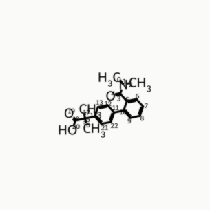 CN(C)C(=O)c1ccccc1-c1ccc(C(C)(C)C(=O)O)cc1